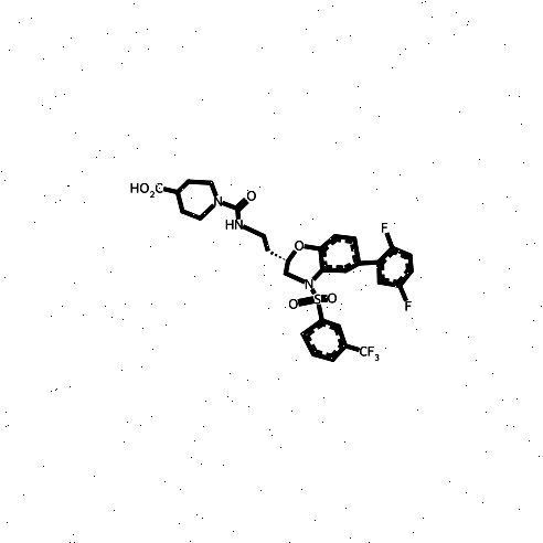 O=C(O)C1CCN(C(=O)NCC[C@H]2CN(S(=O)(=O)c3cccc(C(F)(F)F)c3)c3cc(-c4cc(F)ccc4F)ccc3O2)CC1